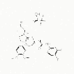 COc1ccc([C@@]23CC[C@@H](NC(=O)Nc4ccc(F)c(F)c4)C[C@@H]2N(CCO)CC3)cc1OC.O=C(O)C(F)(F)F